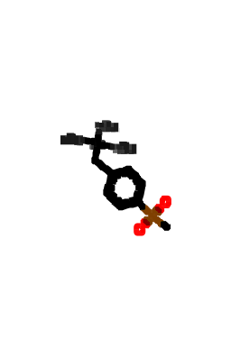 CCC[CH2][Sn]([CH2]CCC)([CH2]CCC)[CH2]c1ccc(S(C)(=O)=O)cc1